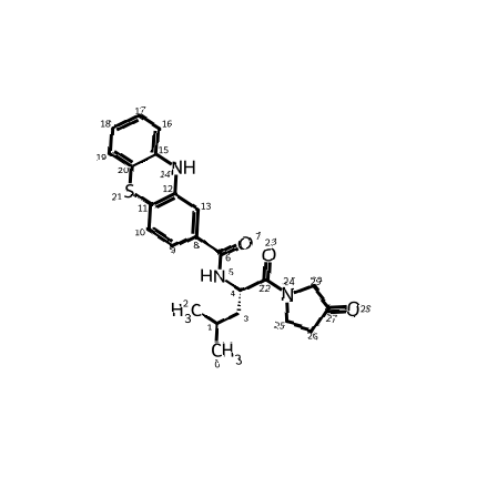 CC(C)C[C@H](NC(=O)c1ccc2c(c1)Nc1ccccc1S2)C(=O)N1CCC(=O)C1